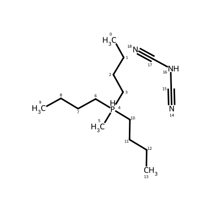 CCCC[PH](C)(CCCC)CCCC.N#CNC#N